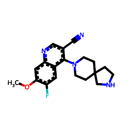 COc1cc2ncc(C#N)c(N3CCC4(CCNC4)CC3)c2cc1F